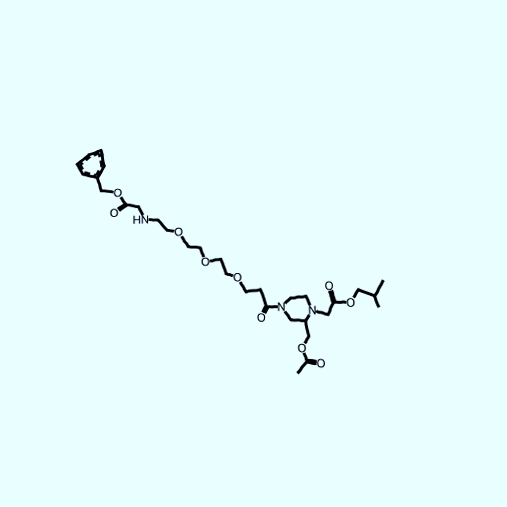 CC(=O)OCC1CN(C(=O)CCOCCOCCOCCNCC(=O)OCc2ccccc2)CCN1CC(=O)OCC(C)C